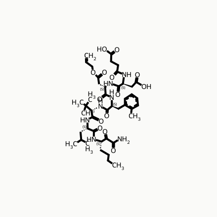 C=CCOC(=O)C[C@H](NC(=O)[C@H](CC(=O)O)NC(=O)CCC(=O)O)C(=O)N[C@@H](Cc1ccccc1C)C(=O)N[C@H](C(=O)N[C@@H](CC(C)C)C(=O)N[C@@H](CCCC)C(=O)C(N)=O)C(C)(C)C